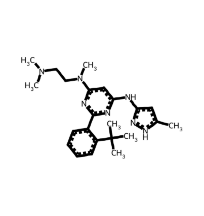 Cc1cc(Nc2cc(N(C)CCN(C)C)nc(-c3ccccc3C(C)(C)C)n2)n[nH]1